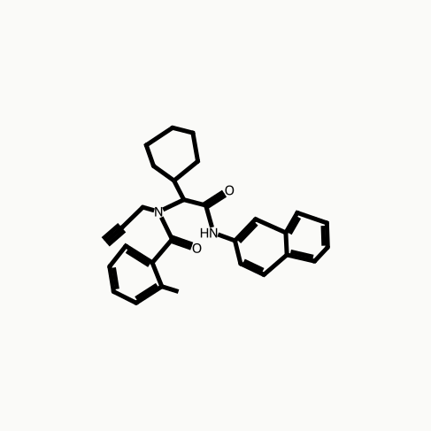 C#CCN(C(=O)c1ccccc1C)C(C(=O)Nc1ccc2ccccc2c1)C1CCCCC1